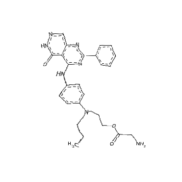 CCCN(CCOC(=O)CN)c1ccc(Nc2nc(-c3ccccc3)nc3cn[nH]c(=O)c23)cc1